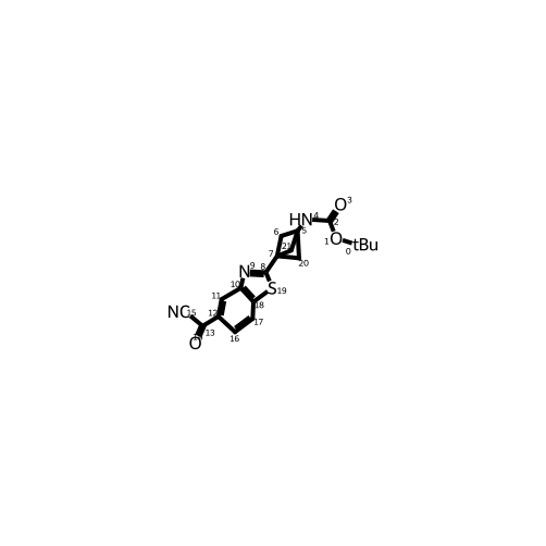 CC(C)(C)OC(=O)NC12CC(c3nc4cc(C(=O)C#N)ccc4s3)(C1)C2